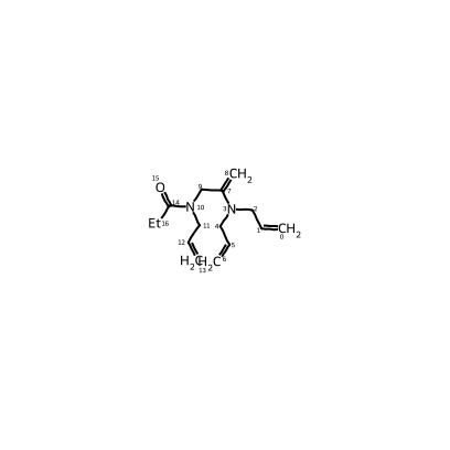 C=CCN(CC=C)C(=C)CN(CC=C)C(=O)CC